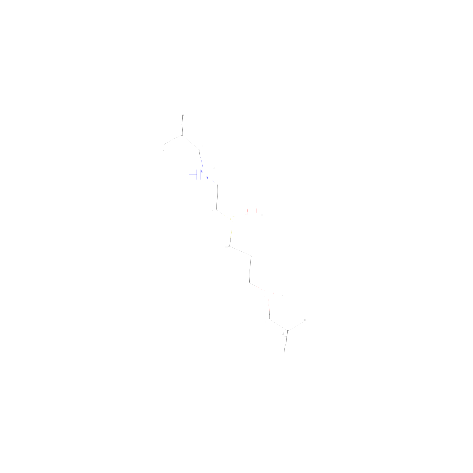 CC(C)CNCC[S+]([O-])CCCOCC(C)C